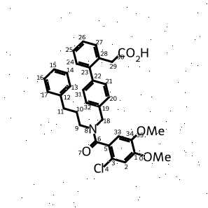 COc1cc(Cl)c(C(=O)N(CCCc2ccccc2)Cc2ccc(-c3ccccc3CC(=O)O)cc2)cc1OC